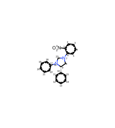 O=[N+]([O-])c1ccccc1N1C[C@H](c2ccccc2)N(c2ccccc2)C1